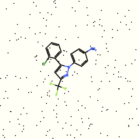 Nc1ccc(-n2nc(C(F)(F)F)cc2-c2ccccc2Cl)cc1